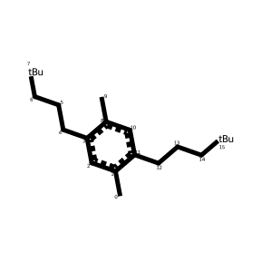 Cc1cc(CCCC(C)(C)C)c(C)cc1CCCC(C)(C)C